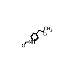 CC(=O)Cc1ccc(NC=O)cc1